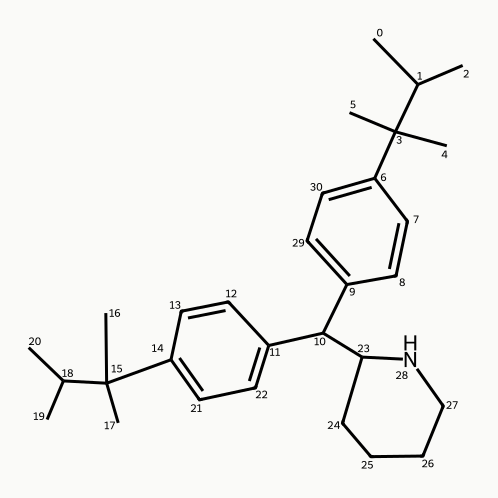 CC(C)C(C)(C)c1ccc(C(c2ccc(C(C)(C)C(C)C)cc2)C2CCCCN2)cc1